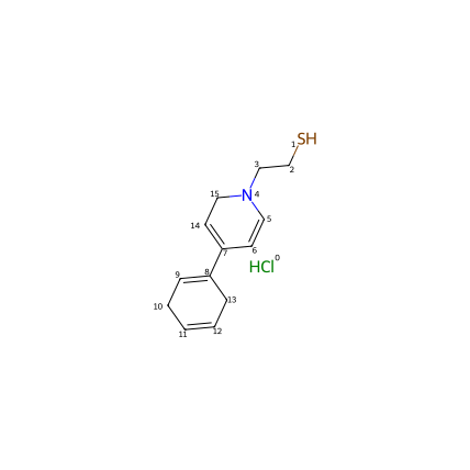 Cl.SCCN1C=CC(C2=CCC=CC2)=CC1